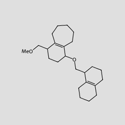 COCC1CCC(OCC2CCCC3=C2CCCC3)C2=C1CCCCC2